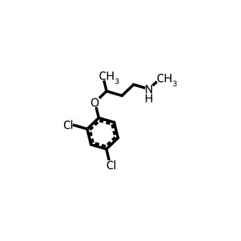 CNCCC(C)Oc1ccc(Cl)cc1Cl